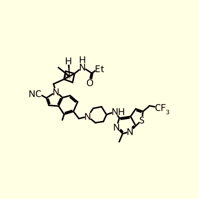 CCC(=O)NC12CC(Cn3c(C#N)cc4c(C)c(CN5CCC(Nc6nc(C)nc7sc(CC(F)(F)F)cc67)CC5)ccc43)(C1)[C@@H]2C